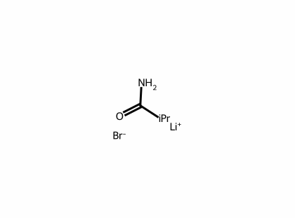 CC(C)C(N)=O.[Br-].[Li+]